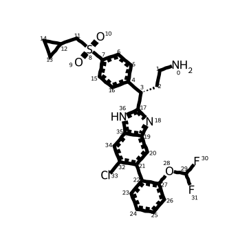 NCC[C@@H](c1ccc(S(=O)(=O)CC2CC2)cc1)c1nc2cc(-c3ccccc3OC(F)F)c(Cl)cc2[nH]1